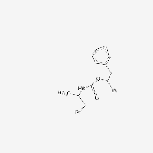 CC(C)CC(NC(=O)OC(Cc1ccccc1)C(C)C)C(=O)O